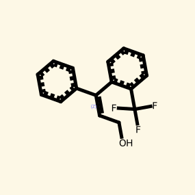 OC/C=C(/c1ccccc1)c1ccccc1C(F)(F)F